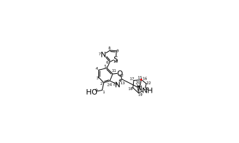 OCc1ccc(-c2nccs2)c2oc(N3CC4CCC(C3)NC4)nc12